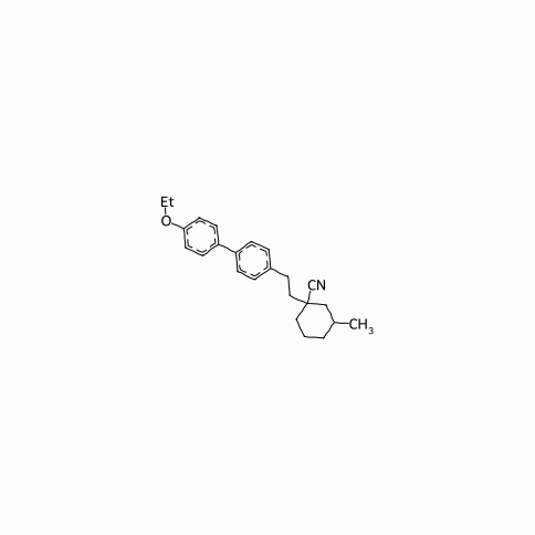 CCOc1ccc(-c2ccc(CCC3(C#N)CCCC(C)C3)cc2)cc1